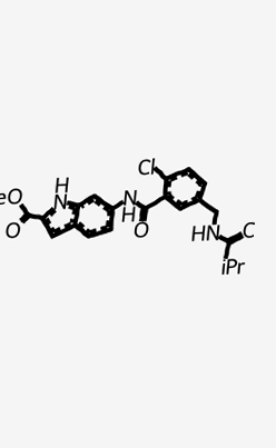 COC(=O)c1cc2ccc(NC(=O)c3cc(CNC(=O)C(C)C)ccc3Cl)cc2[nH]1